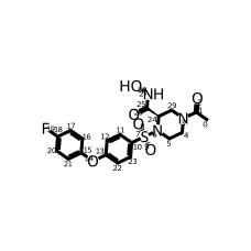 CC(=O)N1CCN(S(=O)(=O)c2ccc(Oc3ccc(F)cc3)cc2)[C@@H](C(=O)NO)C1